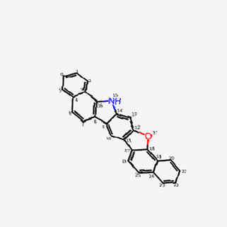 c1ccc2c(c1)ccc1c3cc4c(cc3[nH]c21)oc1c2ccccc2ccc41